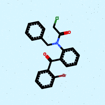 O=C(c1ccccc1Br)c1ccccc1N(Cc1ccccc1)C(=O)CCl